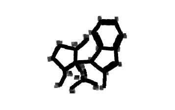 CC1=Cc2ccccc2C1C1([SiH](C)C)C(C)CCC1C